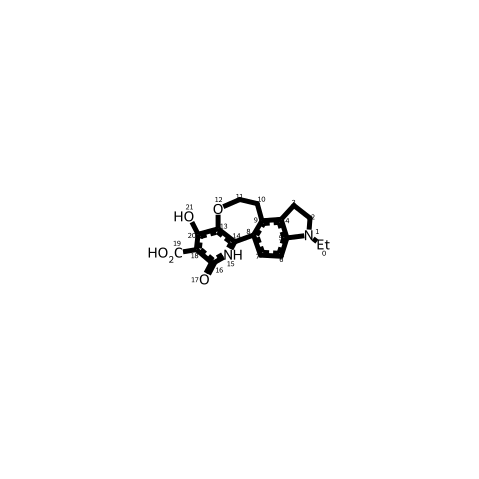 CCN1CCc2c1ccc1c2CCOc2c-1[nH]c(=O)c(C(=O)O)c2O